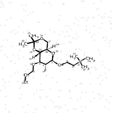 CCOCO[C@@H]1[C@@H](F)[C@H](OCC[Si](C)(C)C)O[C@@H]2COC(C)(C)O[C@@H]12